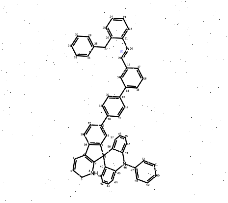 C1=CC2=C(NC1)C1(c3cc(-c4ccc(-c5cccc(/C=N/c6ccccc6Cc6ccccc6)c5)cc4)ccc32)c2ccccc2N(c2ccccc2)c2ccccc21